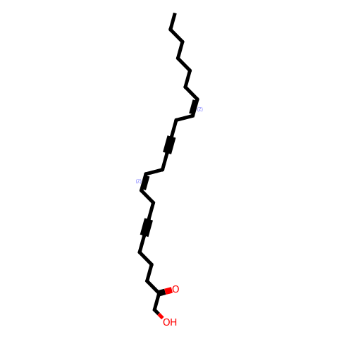 CCCCCC/C=C\CC#CC/C=C\CC#CCCCC(=O)CO